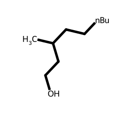 CCCCCCC(C)CCO